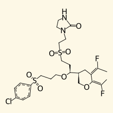 C/C(F)=C1/OC[C@@H]([C@H](CCS(=O)(=O)CCN2CCNC2=O)OCCCS(=O)(=O)c2ccc(Cl)cc2)C/C1=C(/C)F